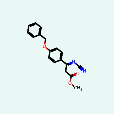 COC(=O)CC(=NC#N)c1ccc(OCc2ccccc2)cc1